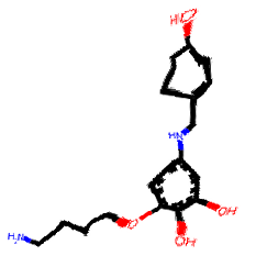 NCCCCOc1cc(NCC2=CC=C(O)CC2)cc(O)c1O